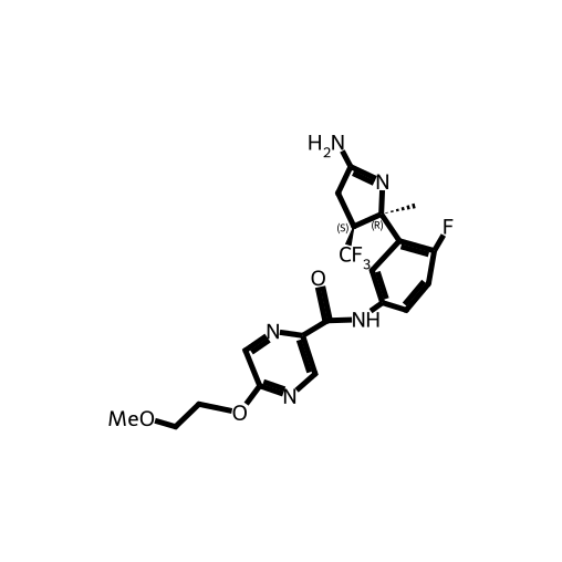 COCCOc1cnc(C(=O)Nc2ccc(F)c([C@]3(C)N=C(N)C[C@@H]3C(F)(F)F)c2)cn1